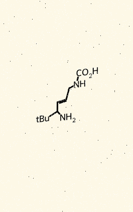 CC(C)(C)C(N)/C=C/CNC(=O)O